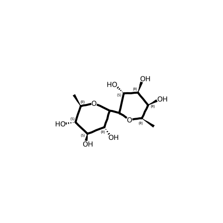 C[C@H]1O[C](C2O[C@H](C)[C@@H](O)[C@H](O)[C@H]2O)[C@H](O)[C@@H](O)[C@H]1O